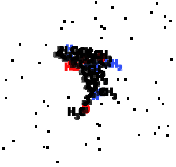 COCCCc1nn(C)c2ccc(CC(C[C@H](NC(=O)[C@@H](NC(=O)CN)C(C)C)C(O)C[C@H](C(=O)NCC3CC3)C(C)C)C(C)C)cc12